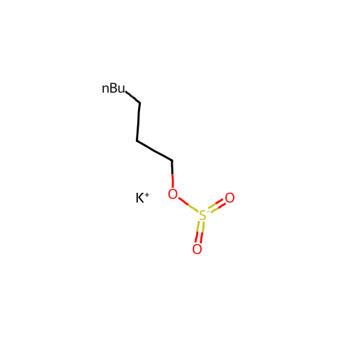 CCCCCCCO[S-](=O)=O.[K+]